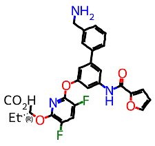 CC[C@@H](Oc1nc(Oc2cc(NC(=O)c3ccco3)cc(-c3cccc(CN)c3)c2)c(F)cc1F)C(=O)O